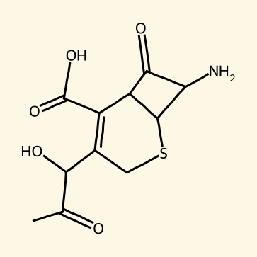 CC(=O)C(O)C1=C(C(=O)O)C2C(=O)C(N)C2SC1